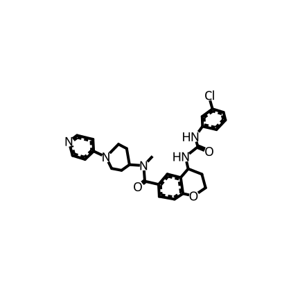 CN(C(=O)c1ccc2c(c1)C(NC(=O)Nc1cccc(Cl)c1)CCO2)C1CCN(c2ccncc2)CC1